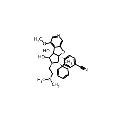 COc1cncc2c1[C@]1(O)[C@H](O)[C@H](CCN(C)C)[C@@H](C3(C)C=CC=CC3)[C@]1(c1ccc(C#N)cc1)O2